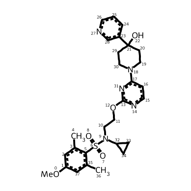 COc1cc(C)c(S(=O)(=O)N(CCOc2nccc(N3CCC(O)(c4cccnc4)CC3)n2)C2CC2)c(C)c1